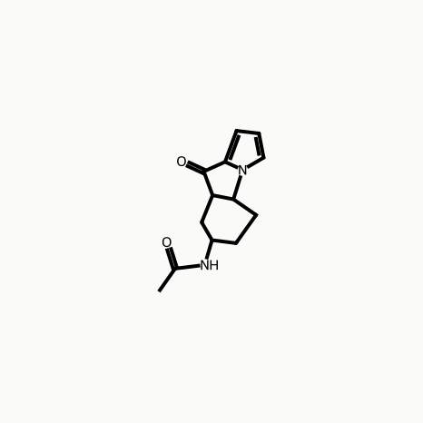 CC(=O)NC1CCC2C(C1)C(=O)c1cccn12